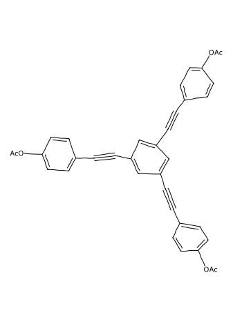 CC(=O)Oc1ccc(C#Cc2cc(C#Cc3ccc(OC(C)=O)cc3)cc(C#Cc3ccc(OC(C)=O)cc3)c2)cc1